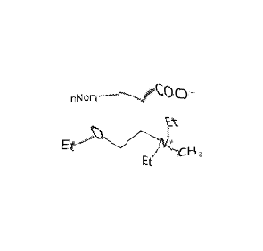 CCCCCCCCCCCC(=O)[O-].CCOCC[N+](C)(CC)CC